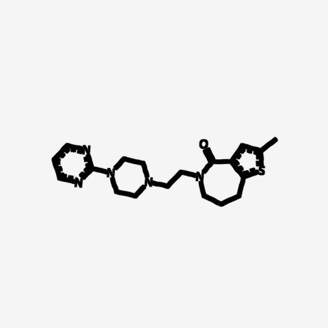 Cc1cc2c(s1)CCCN(CCN1CCN(c3ncccn3)CC1)C2=O